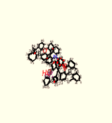 Cc1cccc(C)c1B(c1cccc2c1Oc1ccccc1C21c2ccccc2[PH](O)(c2ccccc2)c2ccccc21)c1c(C)cccc1Cc1ccc(N2c3ccccc3C3(c4ccccc4Oc4c(B(C5=CC=CC=CC5(C)C)c5ccccc5C(C)C)cccc43)c3ccccc32)cc1